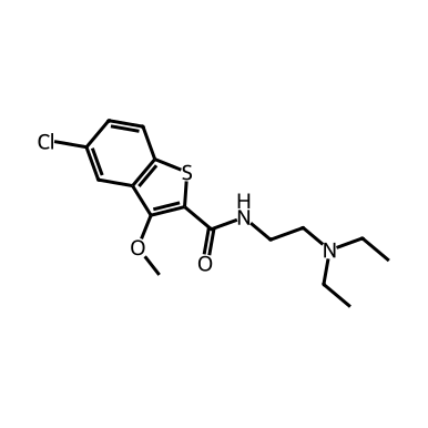 CCN(CC)CCNC(=O)c1sc2ccc(Cl)cc2c1OC